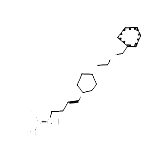 CC(C)(C)[S@@+]([O-])NCCC=C[C@H]1CC[C@H](CCOCc2ccccc2)CC1